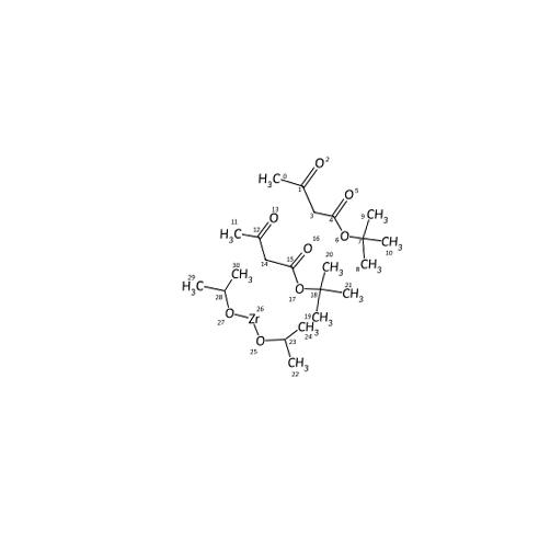 CC(=O)CC(=O)OC(C)(C)C.CC(=O)CC(=O)OC(C)(C)C.CC(C)[O][Zr][O]C(C)C